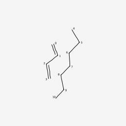 C=CC=C.CCCCCCC